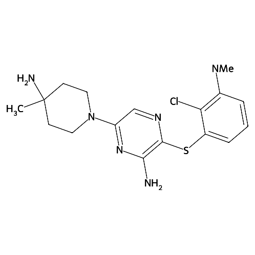 CNc1cccc(Sc2ncc(N3CCC(C)(N)CC3)nc2N)c1Cl